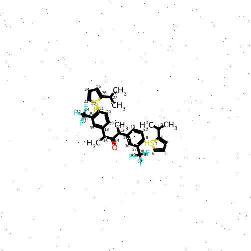 CC(C)C1=CC=C[SH]1c1ccc(C(C)C(=O)C(C)c2ccc([SH]3C=CC=C3C(C)C)c(C(F)(F)F)c2)cc1C(F)(F)F